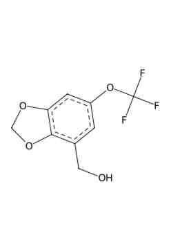 OCc1cc(OC(F)(F)F)cc2c1OCO2